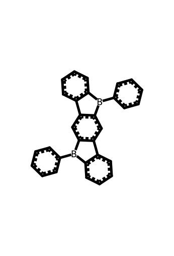 c1ccc(B2c3ccccc3-c3cc4c(cc32)-c2ccccc2B4c2ccccc2)cc1